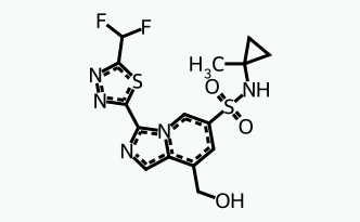 CC1(NS(=O)(=O)c2cc(CO)c3cnc(-c4nnc(C(F)F)s4)n3c2)CC1